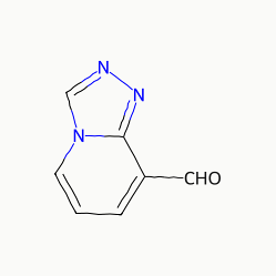 O=Cc1cccn2cnnc12